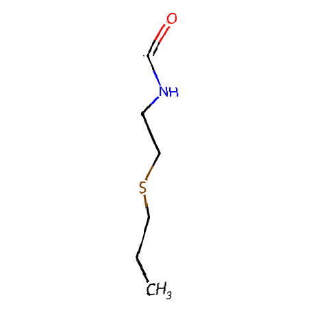 CCCSCCN[C]=O